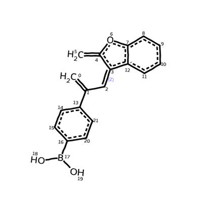 C=C(/C=c1\c(=C)oc2ccccc12)c1ccc(B(O)O)cc1